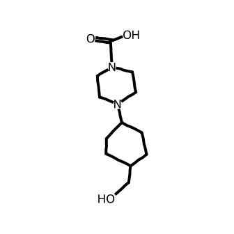 O=C(O)N1CCN(C2CCC(CO)CC2)CC1